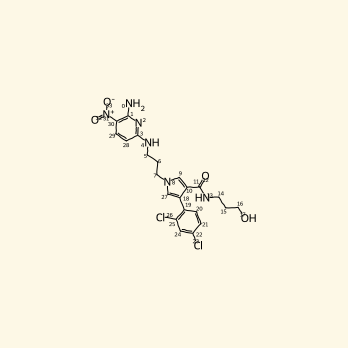 Nc1nc(NCCCn2cc(C(=O)NCCCO)c(-c3ccc(Cl)cc3Cl)c2)ccc1[N+](=O)[O-]